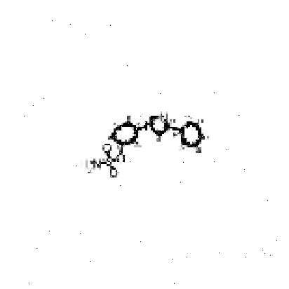 NS(=O)(=O)Oc1cccc(-n2cnc(-c3ccccc3)c2)c1